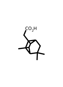 CC1C(CC(=O)O)C2CCC1C(C)(C)C2